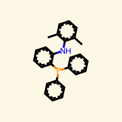 Cc1cccc(C)c1Nc1ccccc1P(c1ccccc1)c1ccccc1